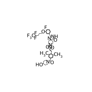 Cc1cc(C(=O)N2CCC(O)CC2)cc(C)c1/C=C/S(=O)(=O)N1CCC2(CC1)N=C(c1ccc(F)c(OCCCC(F)(F)C(F)(F)F)c1)NC2=O